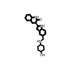 O=c1[nH]c2ccccc2cc1-c1cc2cc(CNC3CCC(O)CC3)ccc2[nH]1